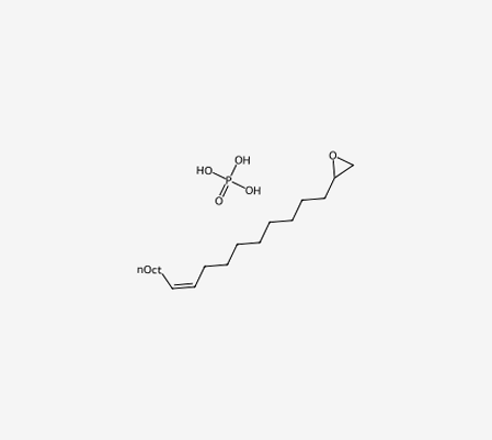 CCCCCCCC/C=C\CCCCCCCCC1CO1.O=P(O)(O)O